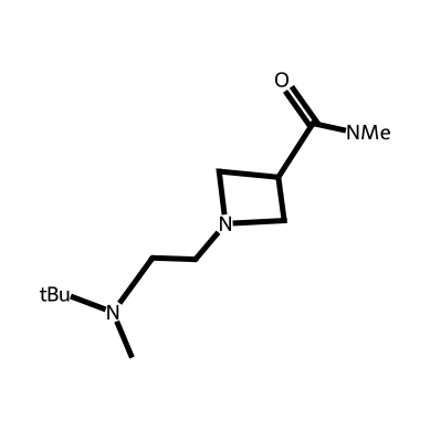 CNC(=O)C1CN(CCN(C)C(C)(C)C)C1